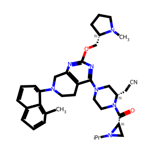 Cc1cccc2cccc(N3CCc4c(nc(OC[C@@H]5CCCN5C)nc4N4CCN(C(=O)[C@@H]5CN5C(C)C)[C@@H](CC#N)C4)C3)c12